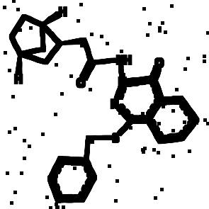 O=C(C[C@H]1C[C@@H]2CC[C@H]1C2)Nn1nc(SCc2ccccc2)c2ccccc2c1=O